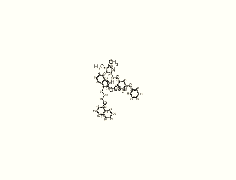 Cc1c(-c2cccc3c(CCCOc4cccc5ccccc45)c(OC(=O)O)[nH]c23)c(COc2cccc(Oc3ccccc3)c2)nn1C